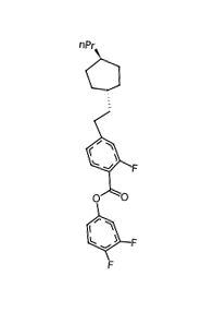 CCC[C@H]1CC[C@H](CCc2ccc(C(=O)Oc3ccc(F)c(F)c3)c(F)c2)CC1